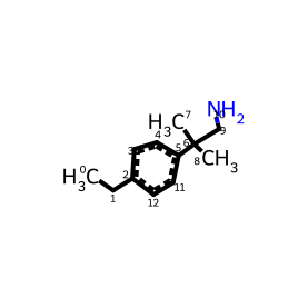 CCc1ccc(C(C)(C)CN)cc1